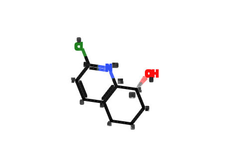 O[C@@H]1CCCc2ccc(Cl)nc21